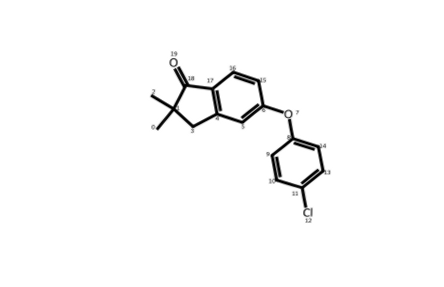 CC1(C)Cc2cc(Oc3ccc(Cl)cc3)ccc2C1=O